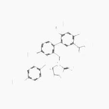 COc1cc(F)c(C(C)C)cc1-c1ccc(C)cc1CN1C(=O)OC[C@@H]1Cc1ccc(C)cc1